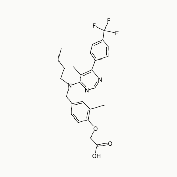 CCCCN(Cc1ccc(OCC(=O)O)c(C)c1)c1ncnc(-c2ccc(C(F)(F)F)cc2)c1C